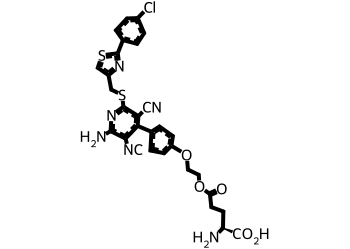 [C-]#[N+]c1c(N)nc(SCc2csc(-c3ccc(Cl)cc3)n2)c(C#N)c1-c1ccc(OCCOC(=O)CC[C@H](N)C(=O)O)cc1